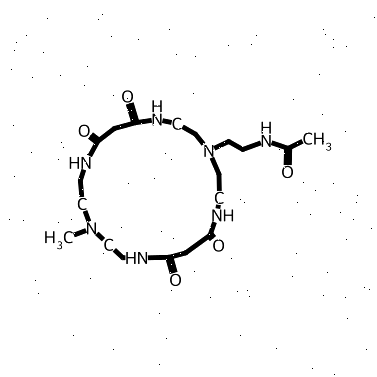 CC(=O)NCCN1CCNC(=O)CC(=O)NCCN(C)CCNC(=O)CC(=O)NCC1